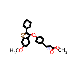 COC(=O)/C=C/c1ccc(Oc2c(-c3ccccc3)sc3cc(OC)ccc23)cc1